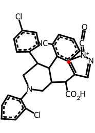 N#Cc1ccccc1C1C(c2ccc(Cl)cc2)CN(c2ccccc2Cl)CC1C(C(=O)O)C1=C[N+](=C=O)N=C1